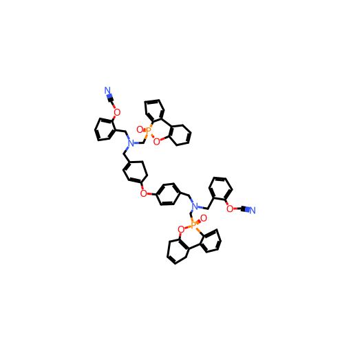 N#COc1ccccc1CN(CC1=CC=C(Oc2ccc(CN(Cc3ccccc3OC#N)CP3(=O)OC4=C(CC=CC4)c4ccccc43)cc2)CC1)CP1(=O)OC2=C(CC=CC2)c2ccccc21